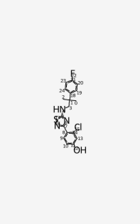 CC(C)(CNc1nc(-c2ccc(O)cc2Cl)ns1)c1ccc(F)cc1